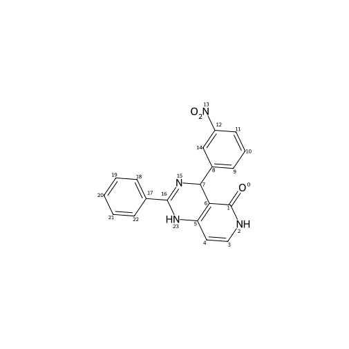 O=c1[nH]ccc2c1C(c1cccc([N+](=O)[O-])c1)N=C(c1ccccc1)N2